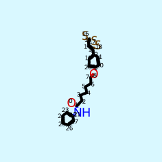 O=C(CCCCCCOc1ccc(-c2cc(=S)ss2)cc1)Nc1ccccc1